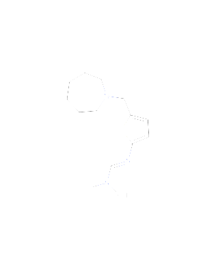 CN(C)C=Nc1ccc(CN2CCCCCC2)s1